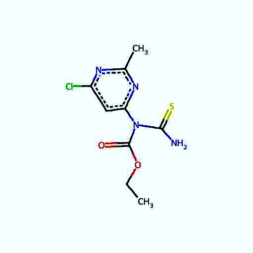 CCOC(=O)N(C(N)=S)c1cc(Cl)nc(C)n1